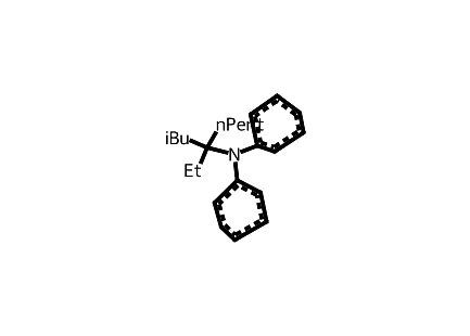 CCCCCC(CC)(C(C)CC)N(c1ccccc1)c1ccccc1